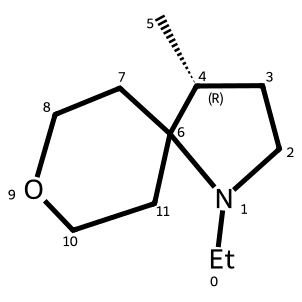 CCN1CC[C@@H](C)C12CCOCC2